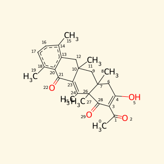 CC(=O)C1=C(O)CC2(C)CC3(C)Cc4c(C)ccc(C)c4C(=O)C3=C(C)C2(C)C1=O